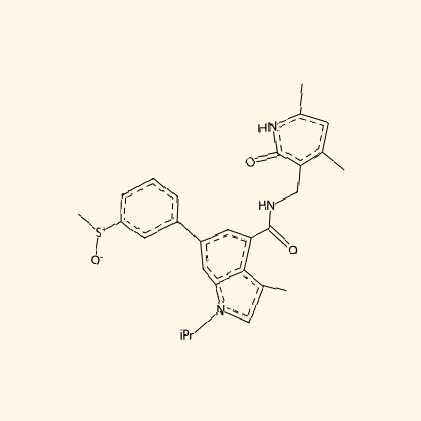 Cc1cc(C)c(CNC(=O)c2cc(-c3cccc([S+](C)[O-])c3)cc3c2c(C)cn3C(C)C)c(=O)[nH]1